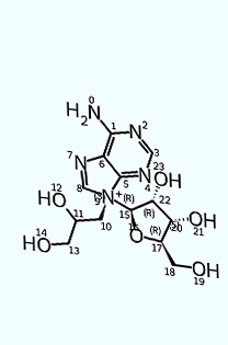 Nc1ncnc2c1N=C[N@@+]2(CC(O)CO)[C@@H]1O[C@H](CO)[C@@H](O)[C@H]1O